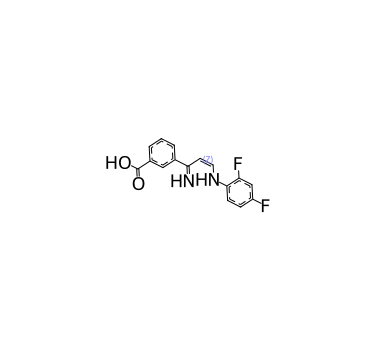 N=C(/C=C\Nc1ccc(F)cc1F)c1cccc(C(=O)O)c1